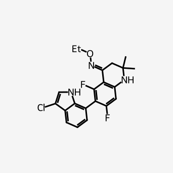 CCON=C1CC(C)(C)Nc2cc(F)c(-c3cccc4c(Cl)c[nH]c34)c(F)c21